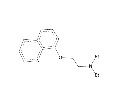 CCN(CC)CCOc1cccc2cccnc12